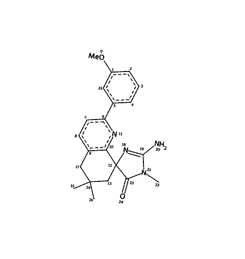 COc1cccc(-c2ccc3c(n2)C2(CC(C)(C)C3)N=C(N)N(C)C2=O)c1